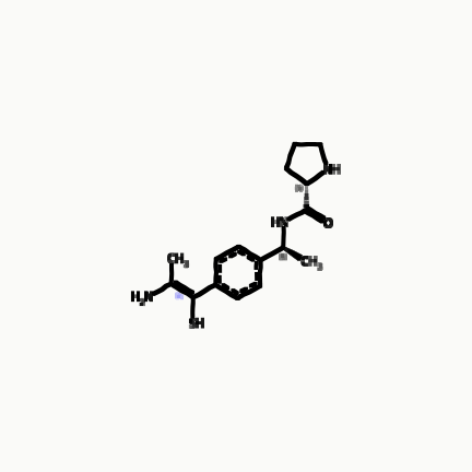 C/C(N)=C(/S)c1ccc([C@H](C)NC(=O)[C@@H]2CCCN2)cc1